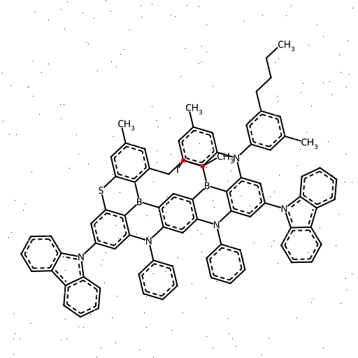 CCCCc1cc(C)cc(N2c3cc(C)cc(I)c3B3c4cc5c(cc4N(c4ccccc4)c4cc(-n6c7ccccc7c7ccccc76)cc2c43)N(c2ccccc2)c2cc(-n3c4ccccc4c4ccccc43)cc3c2B5c2c(CCCC)cc(C)cc2S3)c1